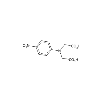 O=C(O)CN(CC(=O)O)c1ccc([N+](=O)[O-])cc1